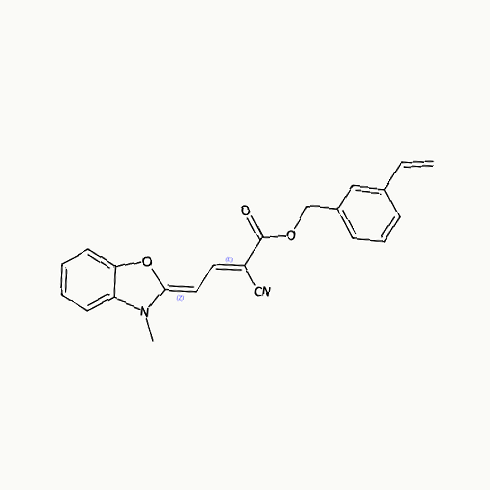 C=Cc1cccc(COC(=O)/C(C#N)=C/C=C2\Oc3ccccc3N2C)c1